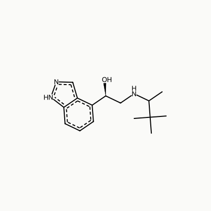 CC(NC[C@H](O)c1cccc2[nH]ncc12)C(C)(C)C